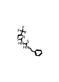 FC(F)(F)c1csc(NC(=S)NCCc2ccccc2)n1